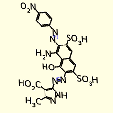 Cc1n[nH]c(/N=N/c2c(S(=O)(=O)O)cc3cc(S(=O)(=O)O)c(/N=N/c4ccc([N+](=O)[O-])cc4)c(N)c3c2O)c1C(=O)O